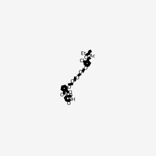 C=CCC(CC)O/C(=C\C(C)=O)c1ccc(OCCOCCOCCOCCOc2cccc3c2C(=O)N(C2CCC(=O)NC2=O)C3=O)cc1Cl